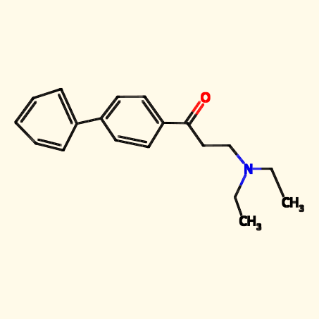 CCN(CC)CCC(=O)c1ccc(-c2ccccc2)cc1